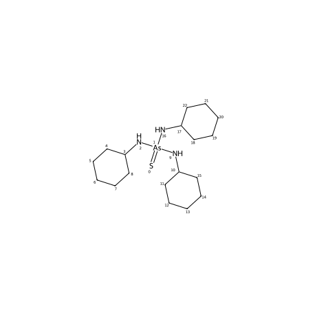 S=[As](NC1CCCCC1)(NC1CCCCC1)NC1CCCCC1